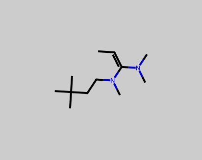 C/C=C(/N(C)C)N(C)CCC(C)(C)C